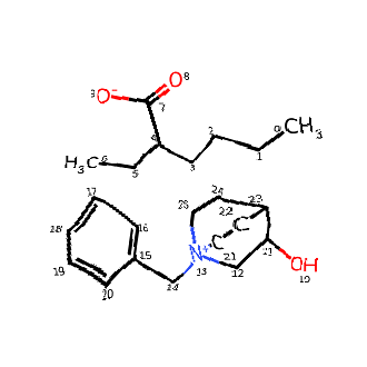 CCCCC(CC)C(=O)[O-].OC1C[N+]2(Cc3ccccc3)CCC1CC2